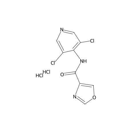 Cl.Cl.O=C(Nc1c(Cl)cncc1Cl)c1cocn1